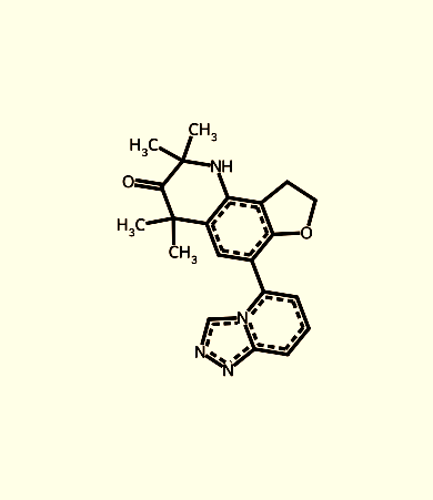 CC1(C)Nc2c(cc(-c3cccc4nncn34)c3c2CCO3)C(C)(C)C1=O